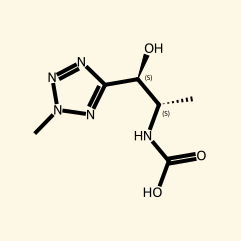 C[C@H](NC(=O)O)[C@H](O)c1nnn(C)n1